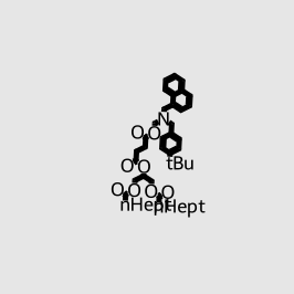 CCCCCCCC(=O)OCC(COC(=O)CCCCCCC)OC(=O)CCC(=O)OCN(Cc1ccc(C(C)(C)C)cc1)Cc1cccc2ccccc12